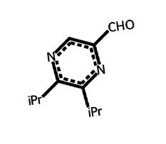 CC(C)c1ncc(C=O)nc1C(C)C